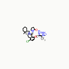 CN(N)/C(=C(\N)COc1ccc(Cl)c2c1[C@@H](CN1CCCC1=O)N(CC1CCCC[C@]1(C)C(=O)O)CC2)C(F)(F)F